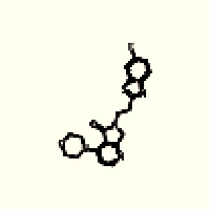 O=C1c2c(N3CCOCC3)ccnc2CN1CCc1nc2ccc(F)cc2s1